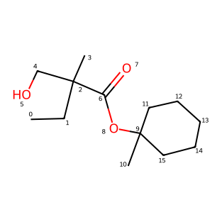 CCC(C)(CO)C(=O)OC1(C)CCCCC1